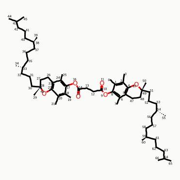 Cc1c(C)c2c(c(C)c1OC(=O)CCC(=O)Oc1c(C)c(C)c3c(c1C)CC[C@@](C)(CCC[C@H](C)CCC[C@H](C)CCCC(C)C)O3)CC[C@@](C)(CCC[C@H](C)CCC[C@H](C)CCCC(C)C)O2